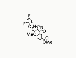 COC(=O)c1ccc(OC)c(-c2c(=O)ncn3nc(Oc4ccc(F)cc4F)ccc23)c1